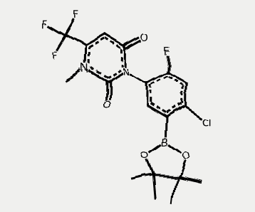 Cn1c(C(F)(F)F)cc(=O)n(-c2cc(B3OC(C)(C)C(C)(C)O3)c(Cl)cc2F)c1=O